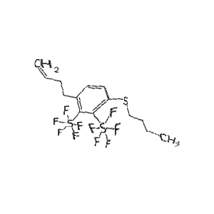 C=CCCc1ccc(SCCCC)c(S(F)(F)(F)(F)F)c1S(F)(F)(F)(F)F